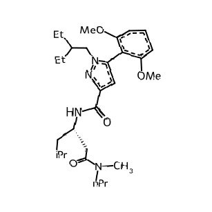 CCCN(C)C(=O)C[C@H](CC(C)C)NC(=O)c1cc(-c2c(OC)cccc2OC)n(CC(CC)CC)n1